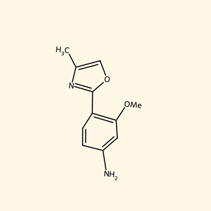 COc1cc(N)ccc1-c1nc(C)co1